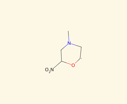 CN1C[CH]OC([N+](=O)[O-])C1